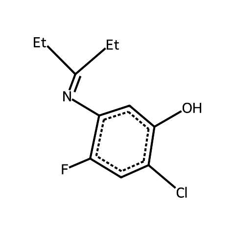 CCC(CC)=Nc1cc(O)c(Cl)cc1F